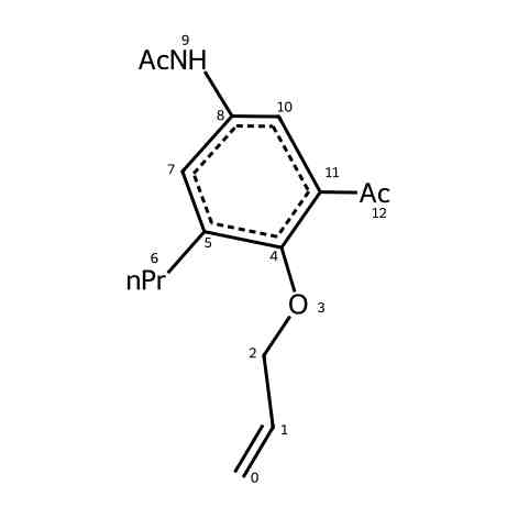 C=CCOc1c(CCC)cc(NC(C)=O)cc1C(C)=O